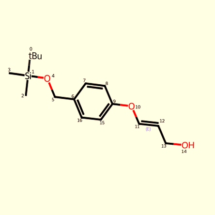 CC(C)(C)[Si](C)(C)OCc1ccc(O/C=C/CO)cc1